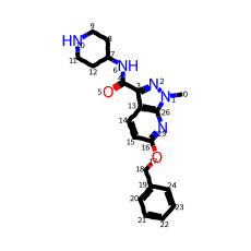 Cn1nc(C(=O)NC2CCNCC2)c2ccc(OCc3ccccc3)nc21